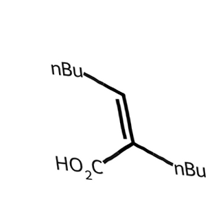 CCCCC=C(CCCC)C(=O)O